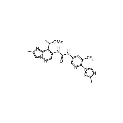 COC(C)c1c(NC(=O)Nc2cnc(-n3cnc(C)n3)c(C(F)(F)F)c2)cnn2cc(C)nc12